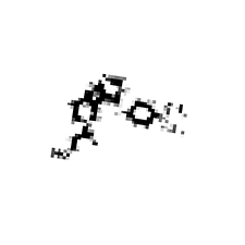 CN(C)[C@H]1CC[C@H](Oc2ncnc3sc4c(c23)CN(C(=O)CCO)CC4)CC1